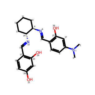 CN(C)c1ccc(C=N[C@@H]2CCCC[C@H]2N=Cc2ccc(O)cc2O)c(O)c1